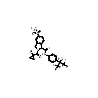 CS(=O)(=O)c1ccc2c(c1)CN(C(=O)C1(F)CC1)C2C(=O)Nc1ccc(C(O)(C(F)(F)F)C(F)(F)F)cc1